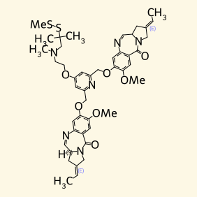 C/C=C1\CC2C=Nc3cc(OCc4cc(OCCN(C)CC(C)(C)SSC)cc(COc5cc6c(cc5OC)C(=O)N5C/C(=C/C)C[C@H]5C=N6)n4)c(OC)cc3C(=O)N2C1